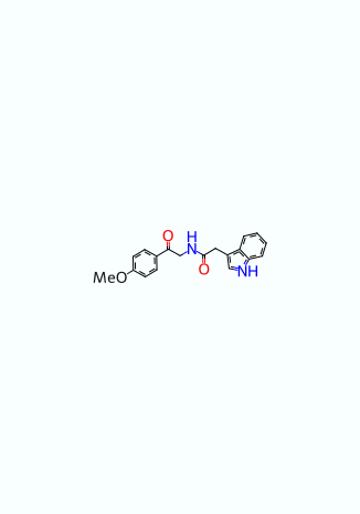 COc1ccc(C(=O)CNC(=O)Cc2c[nH]c3ccccc23)cc1